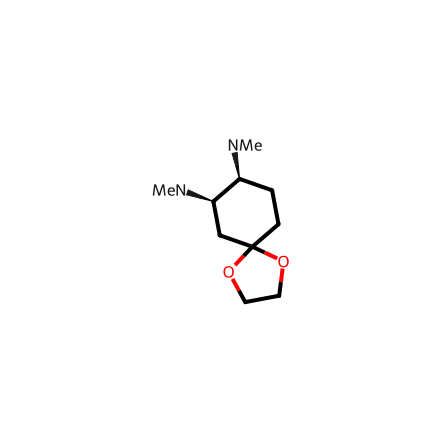 CN[C@H]1CCC2(C[C@H]1NC)OCCO2